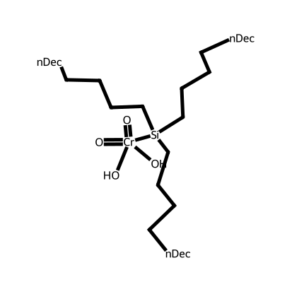 CCCCCCCCCCCCCC[Si](CCCCCCCCCCCCCC)(CCCCCCCCCCCCCC)[Cr](=[O])(=[O])([OH])[OH]